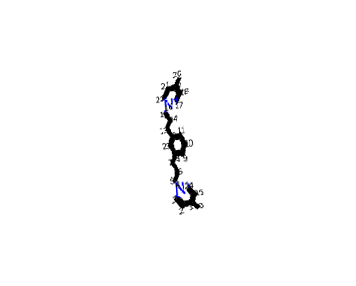 Cc1cc[n+](CCCc2cccc(CCC[n+]3ccc(C)cc3)c2)cc1